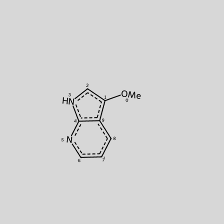 COc1c[nH]c2nc[c]cc12